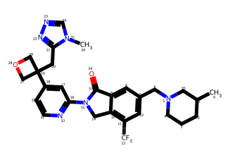 CC1CCCN(Cc2cc3c(c(C(F)(F)F)c2)CN(c2cc(C4(Cc5nncn5C)COC4)ccn2)C3=O)C1